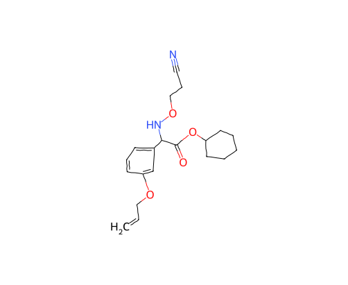 C=CCOc1cccc(C(NOCCC#N)C(=O)OC2CCCCC2)c1